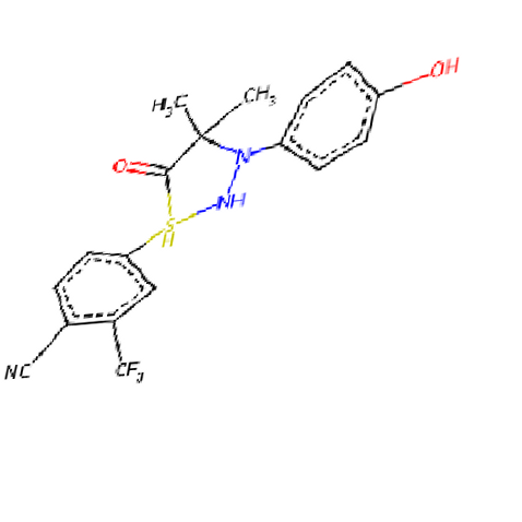 CC1(C)C(=O)[SH](c2ccc(C#N)c(C(F)(F)F)c2)NN1c1ccc(O)cc1